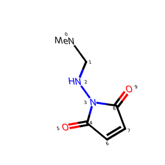 CNCNN1C(=O)C=CC1=O